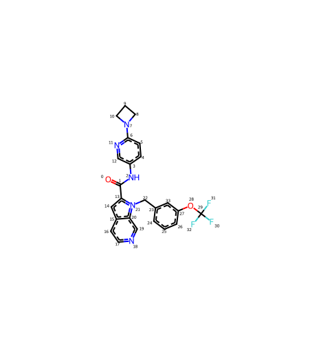 O=C(Nc1ccc(N2CCC2)nc1)c1cc2ccncc2n1Cc1cccc(OC(F)(F)F)c1